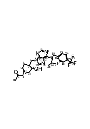 CC(=O)CN1CCC(Cn2cnc3c(N(Cc4ccc(C(F)(F)F)cc4)C(C)C)ncnc32)[C@@H](O)C1